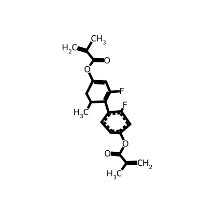 C=C(C)C(=O)OC1=CC(F)=C(c2ccc(OC(=O)C(=C)C)cc2F)C(C)C1